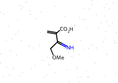 C=C(C(=N)COC)C(=O)O